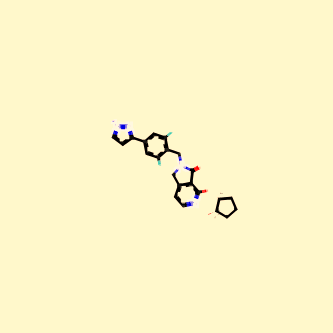 Cn1ccc(-c2cc(F)c(CN3Cc4ccnc(O[C@@H]5CCC[C@H]5O)c4C3=O)c(F)c2)n1